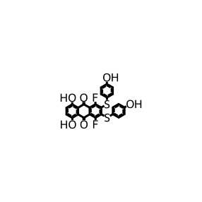 O=C1c2c(O)ccc(O)c2C(=O)c2c(F)c(Sc3ccc(O)cc3)c(Sc3ccc(O)cc3)c(F)c21